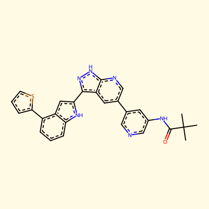 CC(C)(C)C(=O)Nc1cncc(-c2cnc3[nH]nc(-c4cc5c(-c6cccs6)cccc5[nH]4)c3c2)c1